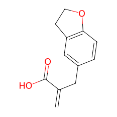 C=C(Cc1ccc2c(c1)CCO2)C(=O)O